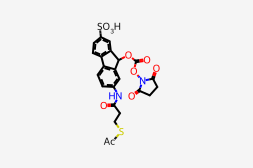 CC(=O)SCCC(=O)Nc1ccc2c(c1)C(OC(=O)ON1C(=O)CCC1=O)c1cc(S(=O)(=O)O)ccc1-2